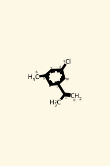 C=C(C)c1cc(C)cc(Cl)c1